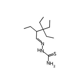 CCC(C=NNC(N)=S)C(CC)(CC)CC